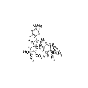 COc1ccc2c(c1)CCN(C(=O)CC(C)(O)CC(=O)O)C2C(=O)Nc1cc(F)c([Si](C)(C)C)c(F)c1